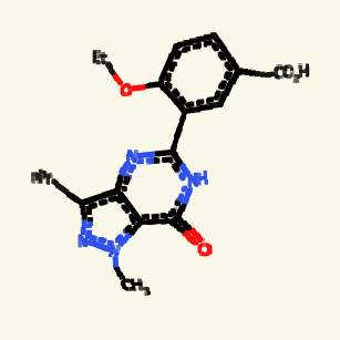 CCCc1nn(C)c2c(=O)[nH]c(-c3cc(C(=O)O)ccc3OCC)nc12